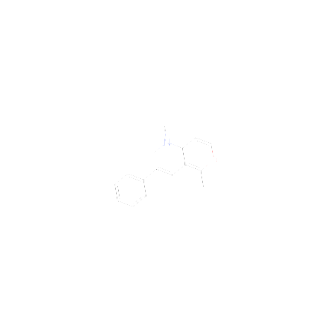 CC1=C(C=Cc2ccccc2)C(N(C)C)C=CO1